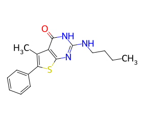 CCCCNc1nc2sc(-c3ccccc3)c(C)c2c(=O)[nH]1